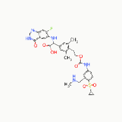 CNCc1cc(NC(=O)OCCc2c(C)cc(C(Nc3cc4c(=O)[nH]cnc4cc3F)C(=O)O)cc2C)ccc1S(=O)(=O)C1CC1